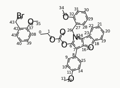 CCOC(=O)Oc1c(-c2ccc(OC)cc2)c2oc3ccccc3c2n1Cc1ccccc1OC.COc1ccccc1CBr